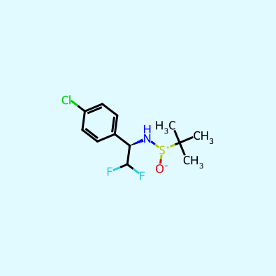 CC(C)(C)[S+]([O-])N[C@H](c1ccc(Cl)cc1)C(F)F